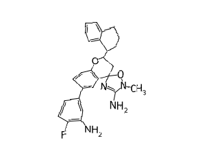 CN1OC2(CC(C3CCCc4ccccc43)Oc3ccc(-c4ccc(F)c(N)c4)cc32)N=C1N